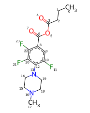 CCCC(=O)OC(=O)c1cc(F)c(N2CCN(C)CC2)c(F)c1F